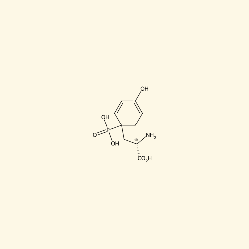 N[C@@H](CC1(P(=O)(O)O)C=CC(O)=CC1)C(=O)O